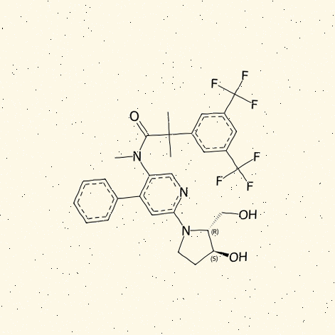 CN(C(=O)C(C)(C)c1cc(C(F)(F)F)cc(C(F)(F)F)c1)c1cnc(N2CC[C@H](O)[C@H]2CO)cc1-c1ccccc1